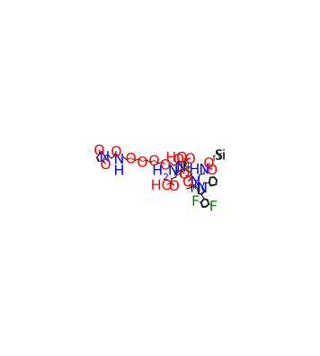 CC(C)(C)[C@H](c1cc(-c2cc(F)ccc2F)cn1Cc1ccccc1)N(CCCNC(=O)OCC[Si](C)(C)C)C(=O)CSC[C@@H](C(=O)O)N(C(=O)CCOCCOCCOCCOCCNC(=O)CCN1C(=O)C=CC1=O)C(=O)[C@@H](N)CCC(=O)O